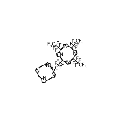 C1=CC2=NC1=CC1=NC(=CC3=NC(=CC4=NC(=C2)C=C4)C=C3)C=C1.FC(F)(F)C(F)(F)C(F)(F)C1=C2C=CC(=N2)C(C(F)(F)C(F)(F)C(F)(F)F)=C2C=CC(=N2)C(C(F)(F)C(F)(F)C(F)(F)F)=C2C=CC(=N2)C(C(F)(F)C(F)(F)C(F)(F)F)=C2C=CC1=N2